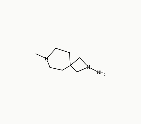 CN1CCC2(CC1)CN(N)C2